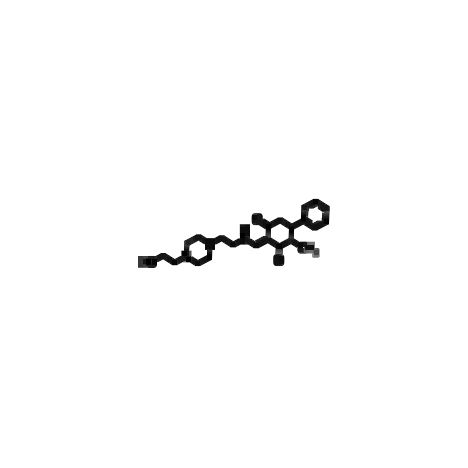 CC1C(=O)/C(=C/NCCN2CCN(CCO)CC2)C(=O)CC1c1ccccc1